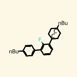 CCCCc1ccc(-c2cccc(C34CCC(CCCC)(CC3)CC4)c2F)cc1